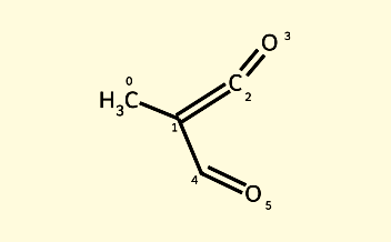 CC(=C=O)C=O